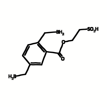 BCc1ccc(CB)c(C(=O)OCCS(=O)(=O)O)c1